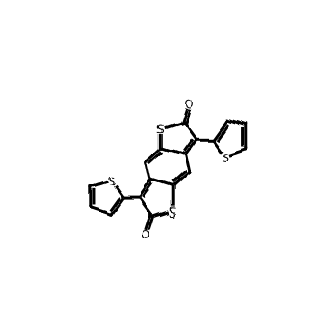 O=C1Sc2cc3c(cc2=C1c1cccs1)SC(=O)C=3c1cccs1